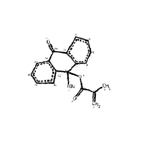 C=C(C)C(=O)OC1(CCCC)c2ccccc2C(=O)c2ccccc21